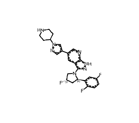 Fc1ccc(F)c([C@H]2C[C@H](F)CN2c2n[nH]c3ncc(-c4cnn(C5CCNCC5)c4)cc23)c1